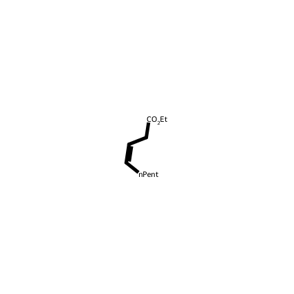 CCCCC/C=C\CC(=O)OCC